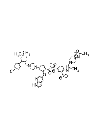 CC(=O)N=S1(=O)CCN(C[C@H](C)Nc2ccc(S(=O)(=O)NC(=O)c3ccc(N4CCN(CC5=C(c6ccc(Cl)cc6)CC(C)(C)CC5)CC4)cc3Oc3cnc4[nH]ccc4c3)cc2[N+](=O)[O-])CC1